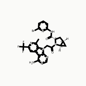 Cc1nc(C(F)(F)F)cc2c3c(N)ncnc3n(CC(=O)N3[C@@H]4C[C@@H]4C[C@H]3C(=O)Nc3cccc(Br)n3)c12